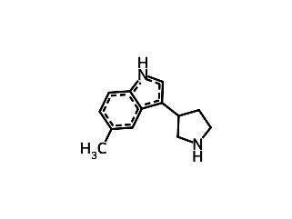 Cc1ccc2[nH]cc(C3CCNC3)c2c1